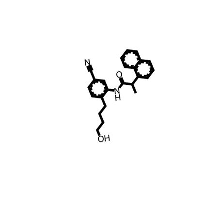 CC(C(=O)Nc1cc(C#N)ccc1CCCCO)c1cccc2ccccc12